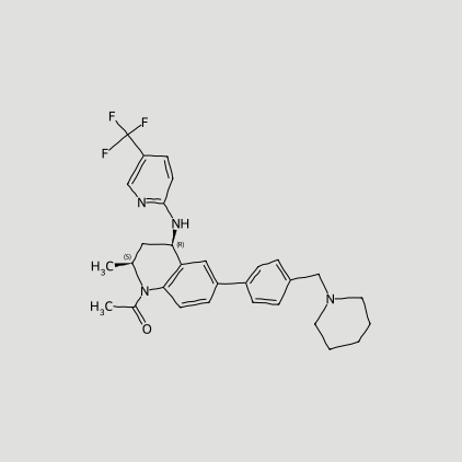 CC(=O)N1c2ccc(-c3ccc(CN4CCCCC4)cc3)cc2[C@H](Nc2ccc(C(F)(F)F)cn2)C[C@@H]1C